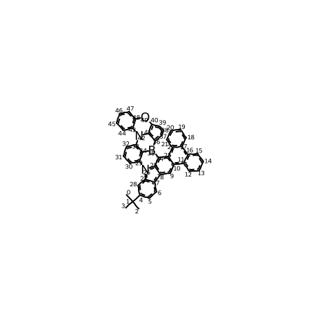 CC(C)(C)c1ccc2c3cc4c5ccccc5c5ccccc5c4c4c3n(c2c1)-c1cccc2c1B4c1cccc3c1N2c1ccccc1O3